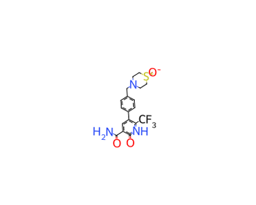 NC(=O)c1cc(-c2ccc(CN3CC[S+]([O-])CC3)cc2)c(C(F)(F)F)[nH]c1=O